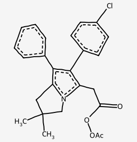 CC(=O)OOC(=O)Cc1c(-c2ccc(Cl)cc2)c(-c2ccccc2)c2n1CC(C)(C)C2